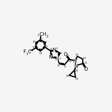 Cc1cc(-c2ncn(/C=C\C(=O)N3CCC(=O)N3C3CC3)n2)cc(C(F)(F)F)c1